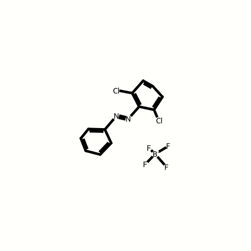 Clc1cccc(Cl)c1N=Nc1ccccc1.F[B-](F)(F)F